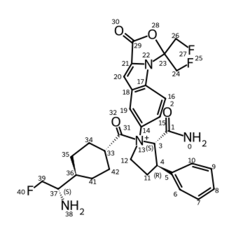 NC(=O)[C@@H]1[C@@H](c2ccccc2)CC[N+]1(c1ccc2c(c1)cc1n2C(CF)(CF)OC1=O)C(=O)[C@H]1CC[C@H]([C@H](N)CF)CC1